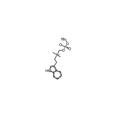 CC(C)(C)OP(=O)([O-])OC[N+](C)(C)CCc1c[nH]c2ccccc12